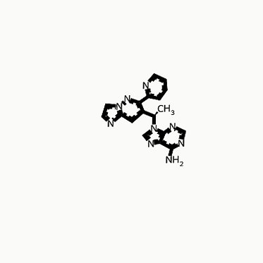 C[C@@H](c1cc2nccn2nc1-c1ccccn1)n1cnc2c(N)ncnc21